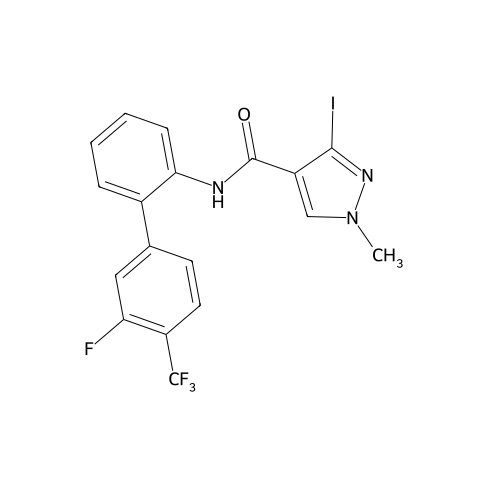 Cn1cc(C(=O)Nc2ccccc2-c2ccc(C(F)(F)F)c(F)c2)c(I)n1